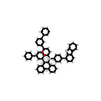 c1ccc(-c2cccc(-c3ccc(N(c4ccc(-c5cccc6c5oc5ccccc56)cc4)c4c(-c5cccc(-c6ccccc6)c5)c5ccccc5c5ccccc45)cc3)c2)cc1